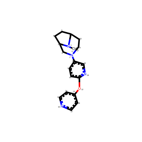 CN1C2CCC1CN(c1ccc(Oc3ccncc3)nc1)CC2